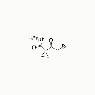 CCCCCC(=O)C1(C(=O)CBr)CC1